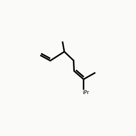 C=CC(C)CC=C(C)C(C)C